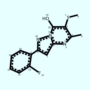 CSc1c(C)nc2cc(-c3ccccc3F)nn2c1O